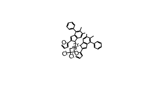 Cc1cc2c(c(-c3ccccc3)c1C)C=C(c1ccco1)[CH]2[Zr]([CH]1C(c2ccco2)=Cc2c1cc(C)c(C)c2-c1ccccc1)=[Si]1CC(Cl)(Cl)C1